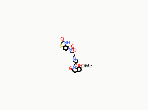 COc1ccc2ccc(=O)n(C[C@]3(O)CCN(CC[C@@H]4CN(c5ccc6c(c5)NC(=O)CS6)C(=O)O4)C3)c2c1